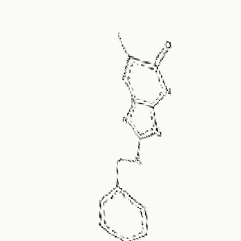 O=c1nc2sc(SCc3ccccc3)nn2cc1I